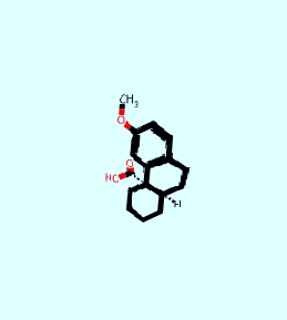 COc1ccc2c(c1)[C@]1(C(=O)O)CCCC[C@@H]1CC2